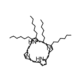 CCCCCCC1=Cc2cc3ccc(cc4nc(cc5[nH]c(c(CCCCCC)c1n2)c(CCCCCC)c5CCCCCC)C=C4)[nH]3